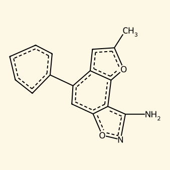 Cc1cc2c(-c3ccccc3)cc3onc(N)c3c2o1